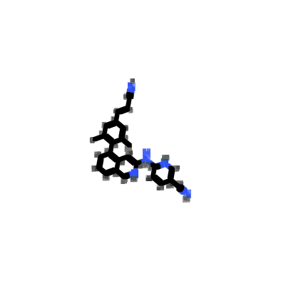 Cc1cc(C=CC#N)cc(C)c1-c1cccc2cnc(Nc3ccc(C#N)cn3)cc12